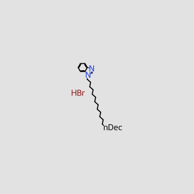 Br.CCCCCCCCCCCCCCCCCCCCCCCn1cnc2ccccc21